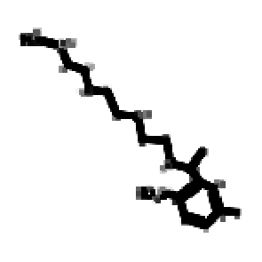 Cc1ccc(S(=O)(=O)O)c(C(C)OCCOCCOCCOC(C)(C)C)c1